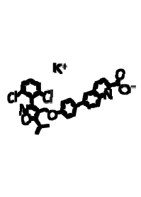 CC(C)c1onc(-c2c(Cl)cccc2Cl)c1COc1ccc(-c2ccc3nc(C(=O)[O-])ccc3c2)cc1.[K+]